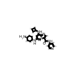 N[C@H]1CC[C@H](Nc2cc(NC3CCC3)c3ncc(C(=O)Nc4ccncc4)n3n2)CC1